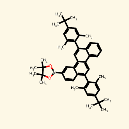 Cc1cc(C(C)(C)C)cc(C)c1-c1cc2c3cc(B4OC(C)(C)C(C)(C)O4)ccc3c(-c3c(C)cc(C(C)(C)C)cc3C)cc2c2ccccc12